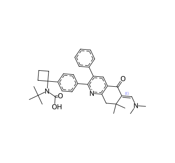 CN(C)/C=C1/C(=O)c2cc(-c3ccccc3)c(-c3ccc(C4(N(C(=O)O)C(C)(C)C)CCC4)cc3)nc2CC1(C)C